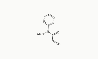 [CH]=CC(=O)N(OC)c1ccccc1